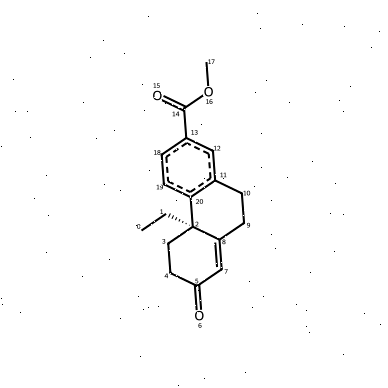 CC[C@@]12CCC(=O)C=C1CCc1cc(C(=O)OC)ccc12